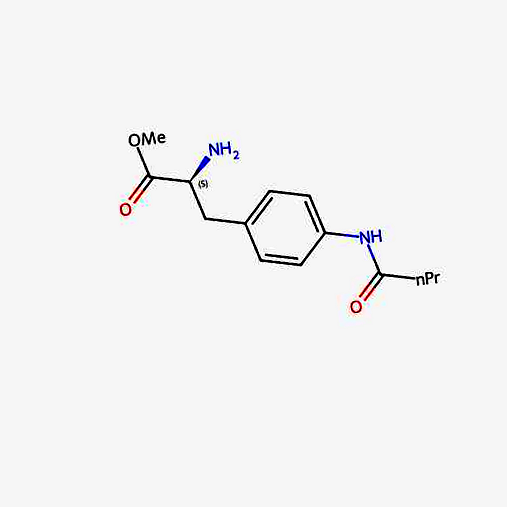 CCCC(=O)Nc1ccc(C[C@H](N)C(=O)OC)cc1